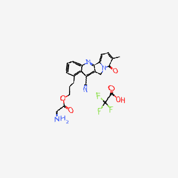 Cc1ccc2n(c1=O)Cc1c-2nc2cccc(CCCOC(=O)CN)c2c1C#N.O=C(O)C(F)(F)F